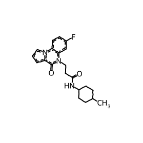 CC1CCC(NC(=O)CCn2c(=O)c3cccn3c3ccc(F)cc32)CC1